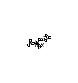 c1ccc(-c2nc(-c3ccc4c(c3)c3ccccc3n4-c3ccccc3)nc(-c3cccc4oc5ccc(-c6cccc7sc8c(-n9c%10ccccc%10c%10ccccc%109)cccc8c67)cc5c34)n2)cc1